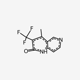 Cc1c(C(F)(F)F)c(=O)[nH]c2ccncc12